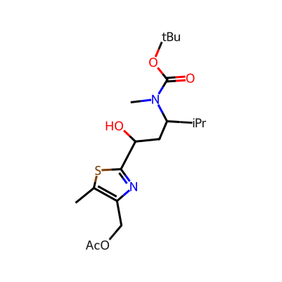 CC(=O)OCc1nc(C(O)CC(C(C)C)N(C)C(=O)OC(C)(C)C)sc1C